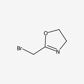 BrCC1=NCCO1